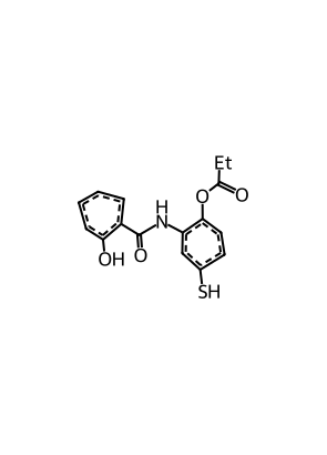 CCC(=O)Oc1ccc(S)cc1NC(=O)c1ccccc1O